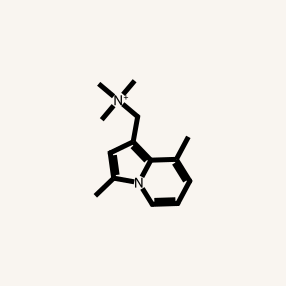 Cc1cccn2c(C)cc(C[N+](C)(C)C)c12